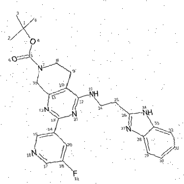 CC(C)(C)OC(=O)N1CCc2c(nc(-c3cncc(F)c3)nc2NCCc2nc3ccccc3[nH]2)C1